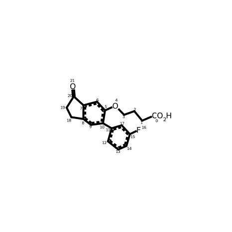 O=C(O)CCCOc1cc2c(cc1-c1cccc(F)c1)CCC2=O